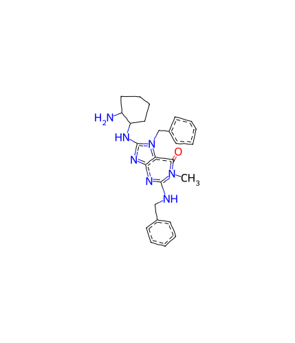 Cn1c(NCc2ccccc2)nc2nc(NC3CCCCC3N)n(Cc3ccccc3)c2c1=O